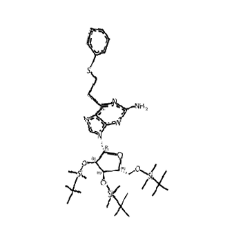 CC(C)(C)[Si](C)(C)OC[C@H]1O[C@@H](n2cnc3c(CCSc4ccccc4)nc(N)nc32)[C@H](O[Si](C)(C)C(C)(C)C)[C@@H]1O[Si](C)(C)C(C)(C)C